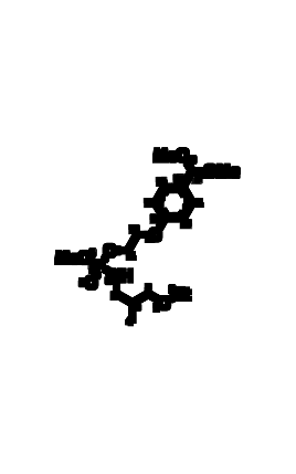 CCOCC(C)CNP(=O)(OC)OCCOc1ccc(C(OC)OC)cc1